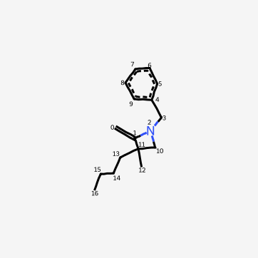 C=C1N(Cc2ccccc2)CC1(C)CCCC